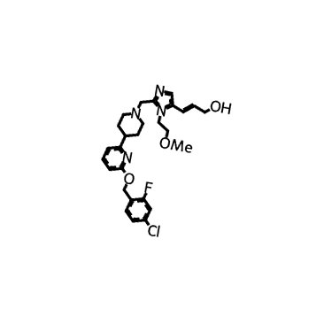 COCCn1c(/C=C/CO)cnc1CN1CCC(c2cccc(OCc3ccc(Cl)cc3F)n2)CC1